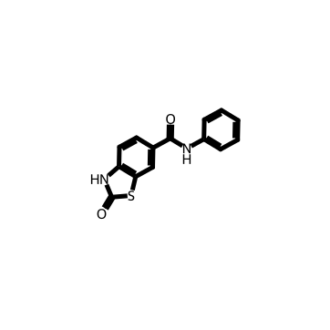 O=C(Nc1ccccc1)c1ccc2[nH]c(=O)sc2c1